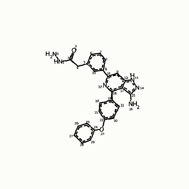 NNC(=O)Cc1cccc(-c2cc3[nH]nc(N)c3c(-c3ccc(Oc4ccccc4)cc3)n2)c1